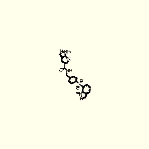 Cn1ncc2cccc(S(=O)(=O)c3ccc(CNC(=O)c4cnc5[nH]ncc5c4)cc3)c21